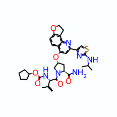 C=C(C)[C@H](NC(=O)OC1CCCC1)C(=O)N1C[C@H](Oc2cc(-c3csc(NC(C)C)n3)nc3c4c(ccc23)OCC4)C[C@H]1C(N)=O